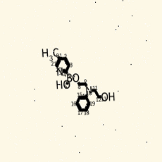 Cc1ccc(B(O)OCCN(CCO)c2ccccc2)nc1